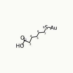 O=C(O)CCCCC[S][Au]